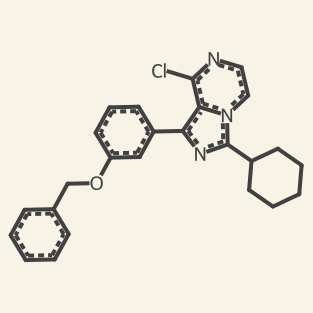 Clc1nccn2c(C3CCCCC3)nc(-c3cccc(OCc4ccccc4)c3)c12